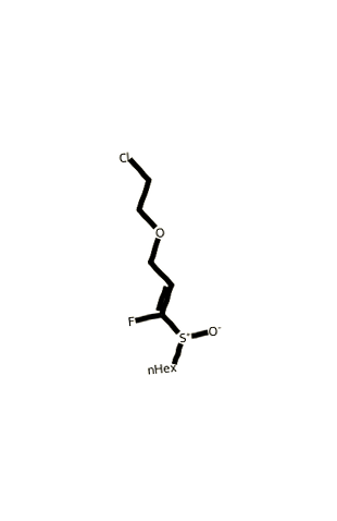 CCCCCC[S+]([O-])/C(F)=C/COCCCl